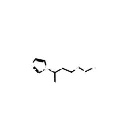 CCCCCCCCCCCC(C)n1ccnc1.O